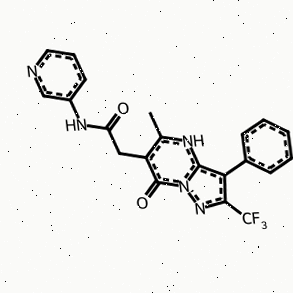 Cc1[nH]c2c(-c3ccccc3)c(C(F)(F)F)nn2c(=O)c1CC(=O)Nc1cccnc1